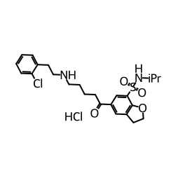 CC(C)NS(=O)(=O)c1cc(C(=O)CCCCNCCc2ccccc2Cl)cc2c1OCC2.Cl